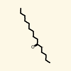 CCCC[CH]C(=O)CCCCCCCCC